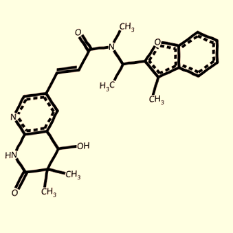 Cc1c(C(C)N(C)C(=O)C=Cc2cnc3c(c2)C(O)C(C)(C)C(=O)N3)oc2ccccc12